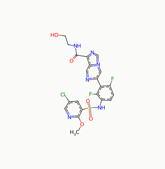 COc1ncc(Cl)cc1S(=O)(=O)Nc1ccc(F)c(-c2cn3cnc(C(=O)NCCO)c3cn2)c1F